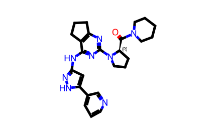 O=C([C@H]1CCCN1c1nc2c(c(Nc3cc(-c4cccnc4)[nH]n3)n1)CCC2)N1CCCCC1